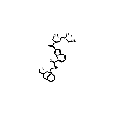 CCC1CC2CCCC(CNC(=O)c3cccc4nc(C(=O)N(CC)CCN(C)CC)cn34)(C1)C2